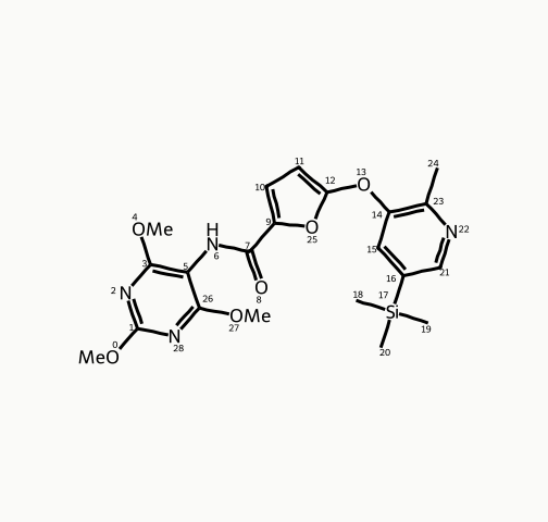 COc1nc(OC)c(NC(=O)c2ccc(Oc3cc([Si](C)(C)C)cnc3C)o2)c(OC)n1